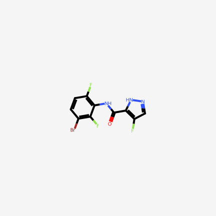 O=C(Nc1c(F)ccc(Br)c1F)c1[nH]ncc1F